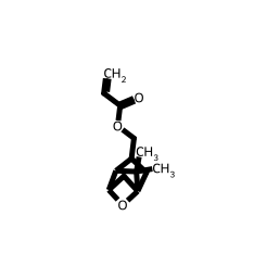 C=CC(=O)OCC1CC23CC(O2)C1C3(C)C